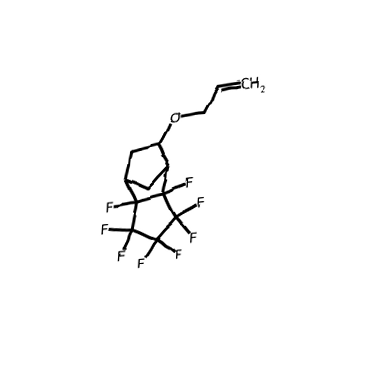 C=CCOC1CC2CC1C1(F)C(F)(F)C(F)(F)C(F)(F)C21F